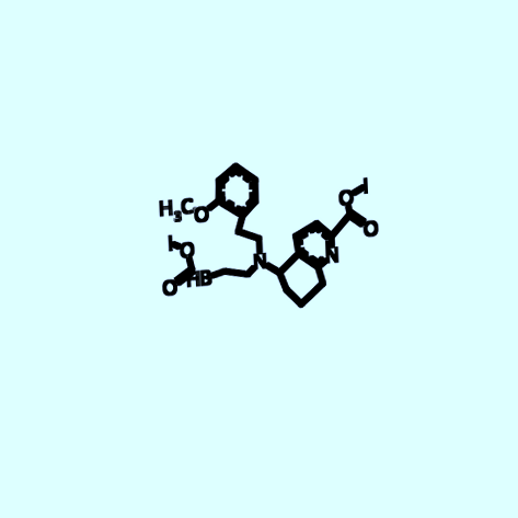 COc1ccccc1CCN(CCBC(=O)OI)C1CCCc2nc(C(=O)OI)ccc21